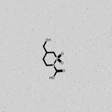 O=C(O)N1CCC(CO)CS1(=O)=O